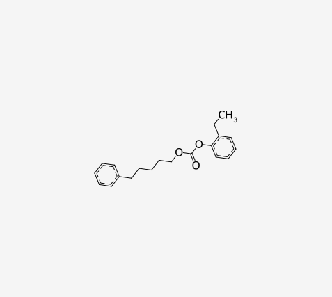 CCc1ccccc1OC(=O)OCCCCCc1ccccc1